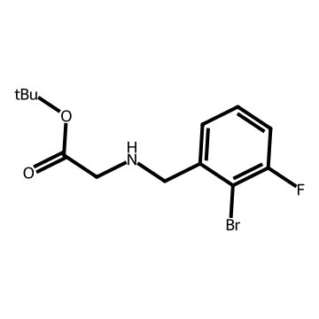 CC(C)(C)OC(=O)CNCc1cccc(F)c1Br